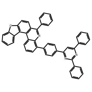 c1ccc(-c2cc(-c3ccc(-c4cccc5c4nc(-c4ccccc4)c4ccc6oc7ccccc7c6c45)cc3)nc(-c3ccccc3)n2)cc1